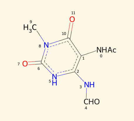 CC(=O)Nc1c(NC=O)[nH]c(=O)n(C)c1=O